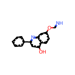 N=COc1ccc2c(O)cc(-c3ccccc3)nc2c1